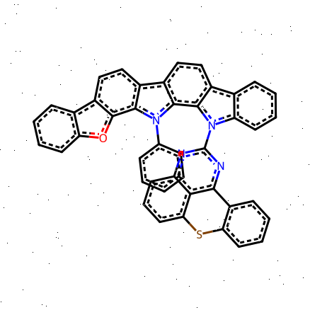 c1ccc(-n2c3c(ccc4c5ccccc5oc43)c3ccc4c5ccccc5n(-c5nc6c7c(cccc7n5)Sc5ccccc5-6)c4c32)cc1